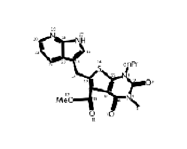 CCCn1c(=O)n(C)c(=O)c2c(C(=O)OC)c(Cc3c[nH]c4ncccc34)sc21